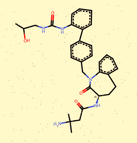 CC(O)CNC(=O)Nc1ccccc1-c1ccc(CN2C(=O)[C@H](NC(=O)CC(C)(C)N)CCc3ccccc32)cc1